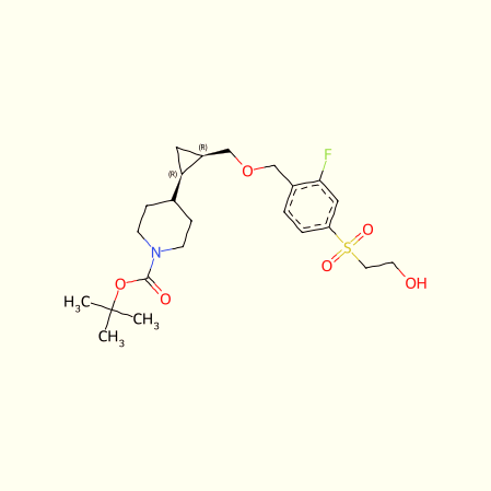 CC(C)(C)OC(=O)N1CCC([C@H]2C[C@H]2COCc2ccc(S(=O)(=O)CCO)cc2F)CC1